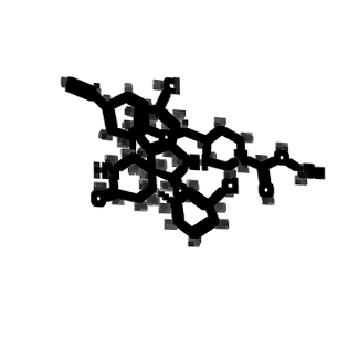 C#Cc1ccc(OCC2CCN(C(=O)OC(C)(C)C)CC2)c([C@H]2NC(=O)C[C@@H](c3cccc(Cl)c3)[C@]23C(=O)Nc2cc(Cl)ccc23)c1